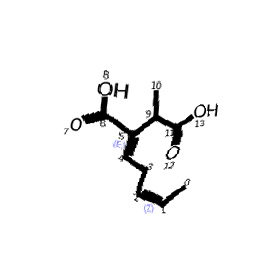 C/C=C\C/C=C(/C(=O)O)C(C)C(=O)O